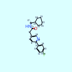 C[C@@H](NC(=O)Cc1ccc(-c2ccc(F)cc2)nc1)C1CCCCC1